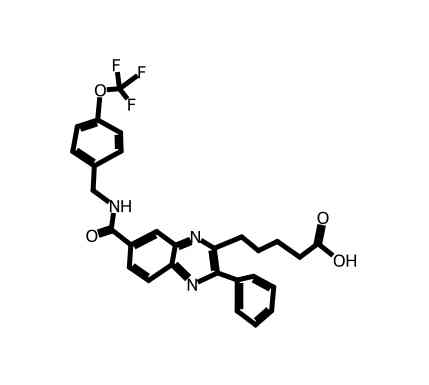 O=C(O)CCCCc1nc2cc(C(=O)NCc3ccc(OC(F)(F)F)cc3)ccc2nc1-c1ccccc1